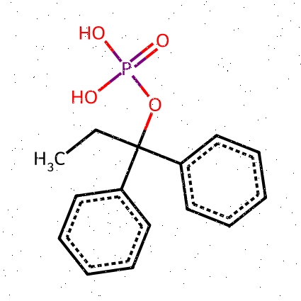 CCC(OP(=O)(O)O)(c1ccccc1)c1ccccc1